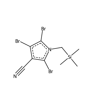 C[Si](C)(C)Cn1c(Br)c(Br)c(C#N)c1Br